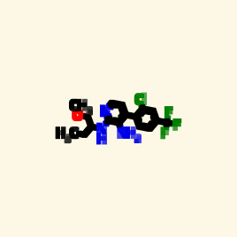 CCC(COC)Nc1nccc(-c2ccc(C(F)(F)F)cc2Cl)c1N